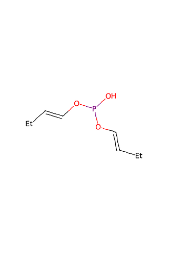 CCC=COP(O)OC=CCC